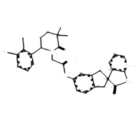 Cc1c(F)cccc1C1CCC(C)(C)C(=O)N1CC(=O)Nc1ccc2c(c1)CC1(C2)C(=O)Nc2ncccc21